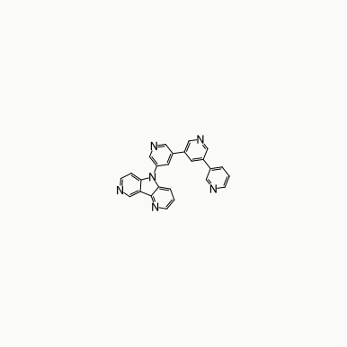 c1cncc(-c2cncc(-c3cncc(-n4c5ccncc5c5ncccc54)c3)c2)c1